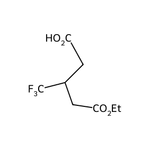 CCOC(=O)CC(CC(=O)O)C(F)(F)F